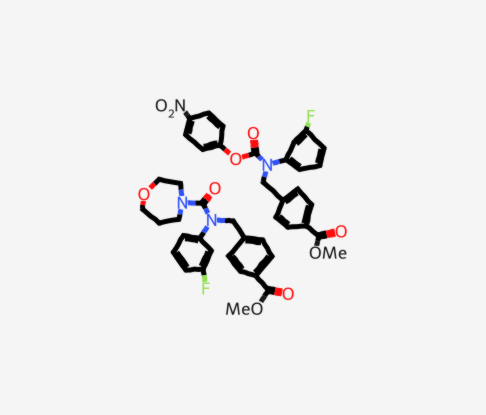 COC(=O)c1ccc(CN(C(=O)N2CCCOCC2)c2cccc(F)c2)cc1.COC(=O)c1ccc(CN(C(=O)Oc2ccc([N+](=O)[O-])cc2)c2cccc(F)c2)cc1